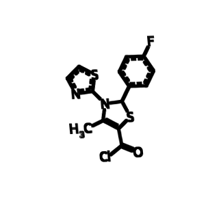 CC1=C(C(=O)Cl)SC(c2ccc(F)cc2)N1c1nccs1